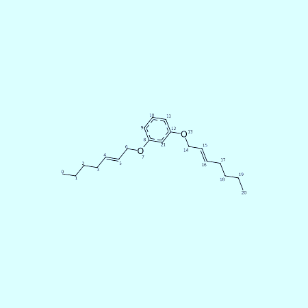 CCCCC=CCOc1cccc(OCC=CCCCC)c1